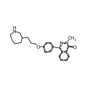 Cn1nc(-c2ccc(OCCCC3CCCCNC3)cc2)c2ccccc2c1=O